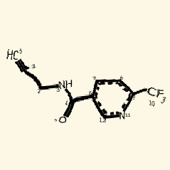 C#CCNC(=O)c1ccc(C(F)(F)F)nc1